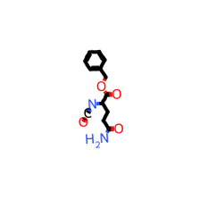 NC(=O)CCC(N=C=O)C(=O)OCc1ccccc1